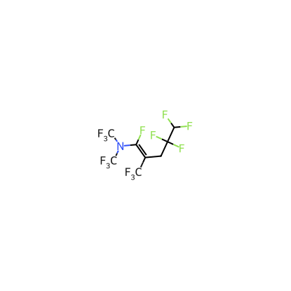 FC(=C(CC(F)(F)C(F)F)C(F)(F)F)N(C(F)(F)F)C(F)(F)F